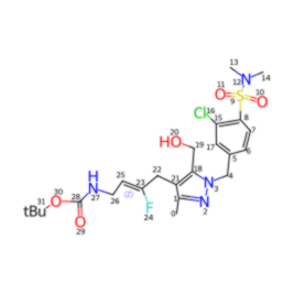 Cc1nn(Cc2ccc(S(=O)(=O)N(C)C)c(Cl)c2)c(CO)c1C/C(F)=C/CNC(=O)OC(C)(C)C